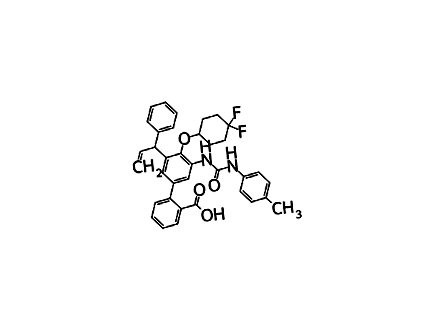 C=CC(c1ccccc1)c1cc(-c2ccccc2C(=O)O)cc(NC(=O)Nc2ccc(C)cc2)c1OC1CCC(F)(F)CC1